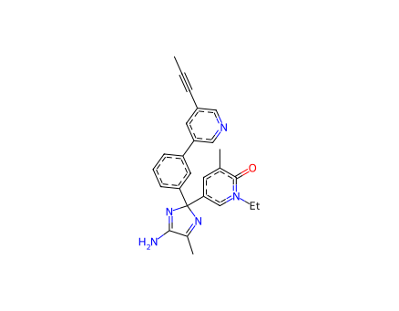 CC#Cc1cncc(-c2cccc(C3(c4cc(C)c(=O)n(CC)c4)N=C(C)C(N)=N3)c2)c1